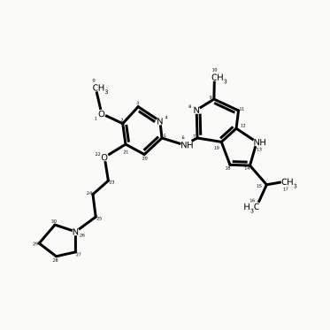 COc1cnc(Nc2nc(C)cc3[nH]c(C(C)C)cc23)cc1OCCCN1CCCC1